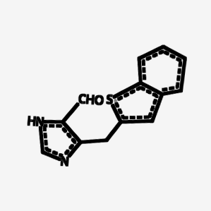 O=Cc1[nH]cnc1Cc1cc2ccccc2s1